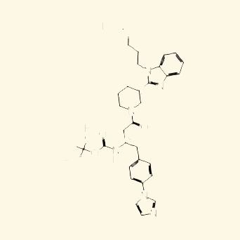 COCCCn1c([C@@H]2CCCN(C(=O)C[C@@H](Cc3ccc(-n4ccnc4)cc3)NC(=O)OC(C)(C)C)C2)nc2ccccc21